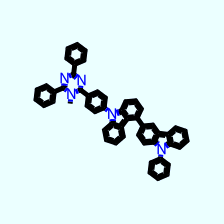 CN1C(c2ccccc2)=NC(c2ccccc2)=NC1c1ccc(-n2c3ccccc3c3c(-c4ccc5c(c4)c4ccccc4n5-c4ccccc4)cccc32)cc1